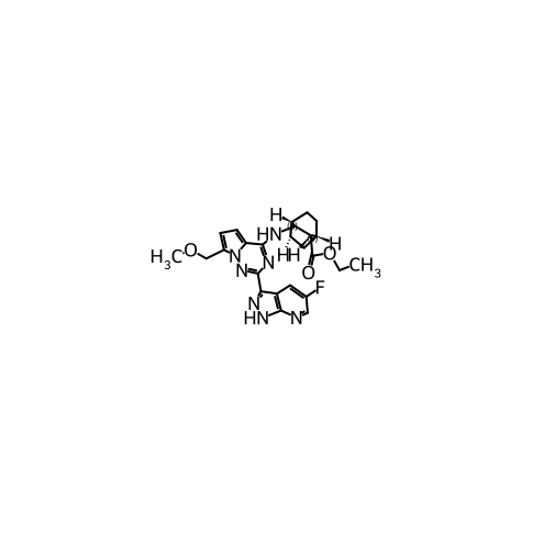 CCOC(=O)[C@H]1[C@H]2CC[C@H](CC2)[C@@H]1Nc1nc(-c2n[nH]c3ncc(F)cc23)nn2c(COC)ccc12